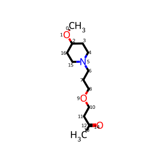 COC1CCN(CCCOCCC(C)=O)CC1